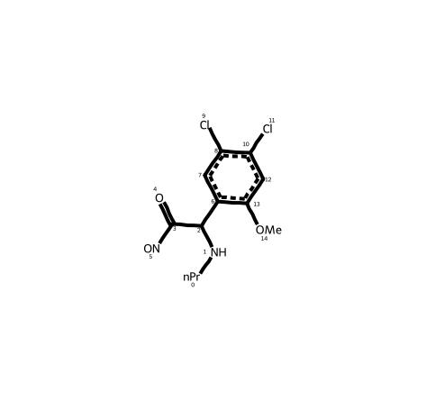 CCCNC(C(=O)N=O)c1cc(Cl)c(Cl)cc1OC